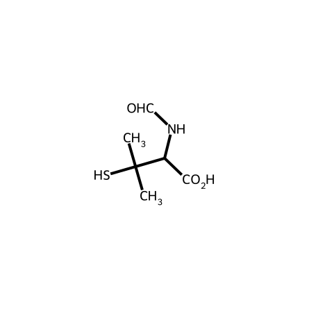 CC(C)(S)C(NC=O)C(=O)O